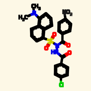 CN(C)c1cccc2c(S(=O)(=O)N(NC(=O)c3ccc(Cl)cc3)C(=O)c3ccc([N+](=O)[O-])cc3)cccc12